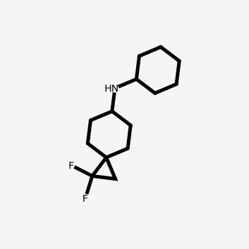 FC1(F)CC12CCC(NC1CCCCC1)CC2